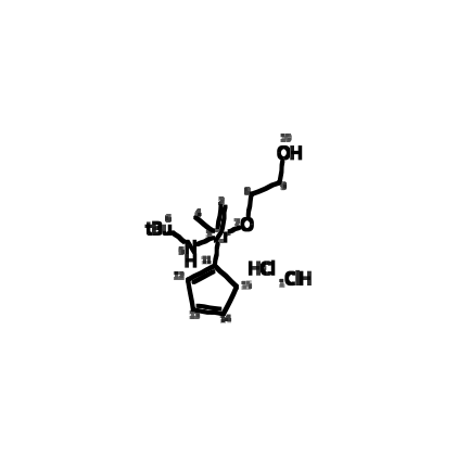 Cl.Cl.[CH2]=[Zr]([CH3])([NH]C(C)(C)C)([O]CCO)[C]1=CC=CC1